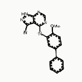 COc1ccc(-c2ccccc2)cc1Nc1ncnc2[nH]nc(Br)c12